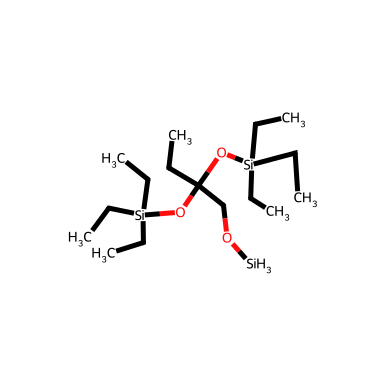 CCC(CO[SiH3])(O[Si](CC)(CC)CC)O[Si](CC)(CC)CC